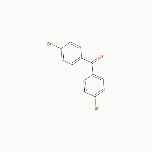 O=C(c1ccc(Br)cc1)c1ccc(Br)cc1